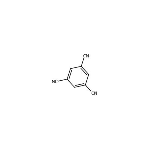 N#Cc1cc(C#N)cc(C#N)c1